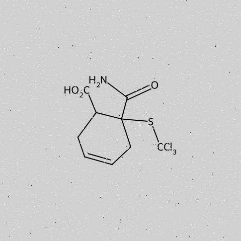 NC(=O)C1(SC(Cl)(Cl)Cl)CC=CCC1C(=O)O